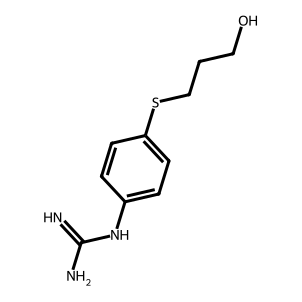 N=C(N)Nc1ccc(SCCCO)cc1